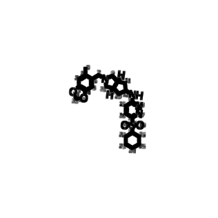 Cc1cc2c(cc1CN1C[C@H]3CC(Nc4ccc(S(=O)(=O)C5CCCCC5)nn4)C[C@H]3C1)OCO2